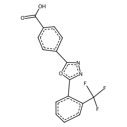 O=C(O)c1ccc(-c2nnc(-c3ccccc3C(F)(F)F)o2)cc1